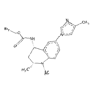 CC(=O)N1c2ccc(-n3cnc(C)c3)cc2[C@@H](NC(=O)OC(C)C)C[C@H]1C